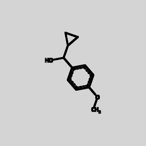 COc1ccc(C(O)C2CC2)cc1